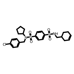 O=S(=O)(NCC1CC=CCC1)c1ccc(S(=O)(=O)N(Cc2ccc(Cl)cc2)C2CCCC2)cc1